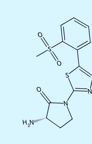 CS(=O)(=O)c1ccccc1-c1cnc(N2CC[C@H](N)C2=O)s1